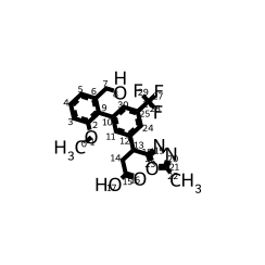 COc1cccc(CO)c1-c1cc(C(CC(=O)O)c2nnc(C)o2)cc(C(F)(F)F)c1